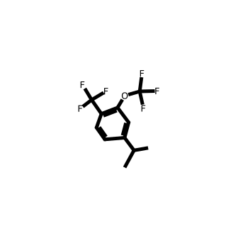 CC(C)c1ccc(C(F)(F)F)c(OC(F)(F)F)c1